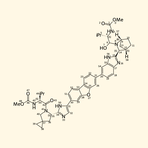 COC(=O)N[C@@H](C(C)C)C(O)N1[C@@H]2CC[C@@H](C2)[C@H]1c1nc2ccc(-c3ccc4c(c3)oc3cc(-c5cnc([C@@H]6CC7(CC7)CN6C(=O)[C@@H](NC(=O)OC)C(C)C)[nH]5)ccc34)cc2[nH]1